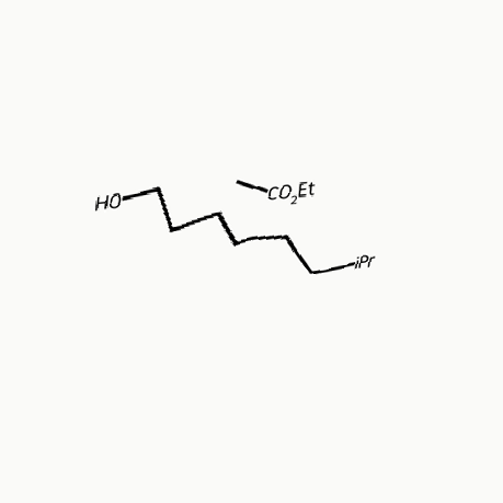 CC(C)CCCCCCO.CCOC(C)=O